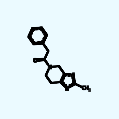 Cc1nc2c(s1)CN(C(=O)Cc1ccccc1)CC2